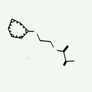 C=C(C)C(=O)OCCNc1ccccc1.Cl